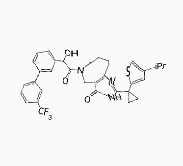 CC(C)c1csc(C2(c3nc4c(c(=O)[nH]3)CN(C(=O)C(O)c3cccc(-c5cccc(C(F)(F)F)c5)c3)CCC4)CC2)c1